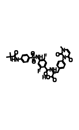 Cn1ccc(=O)n(-c2ccc(C[C@H](NC(=O)c3cc(F)c(NS(=O)(=O)c4ccc(NC(=O)C(C)(C)C)cc4)cc3F)C(=O)O)cc2)c1=O